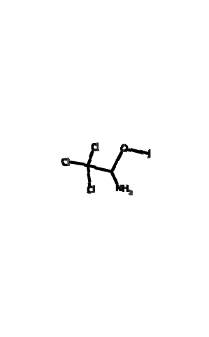 NC(OI)C(Cl)(Cl)Cl